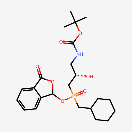 CC(C)(C)OC(=O)NC[C@H](O)CP(=O)(CC1CCCCC1)OC1OC(=O)c2ccccc21